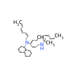 C=C/C=C\C=C/CN(C(/C=C\CNC(C)C/C=C\C=C/C)=C/C=C)c1cccc2ccccc12